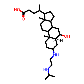 CC(C)NCCNC1CCC2(C)C3CCC4(C)C(C(C)CCC(=O)O)CCC4C3CC(O)[C@H]2C1